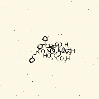 O=C(O)C(c1ccccc1)c1ccccc1.O=C(O)CC12CC3CC(CC(C3)C1)C2.O=C(O)CCC(=O)O.O=C(O)CCCC(=O)O.O=C(O)CCCc1ccccc1